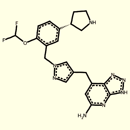 Nc1cc(Cc2cnn(Cc3cc([C@@H]4CCNC4)ccc3OC(F)F)c2)c2nn[nH]c2n1